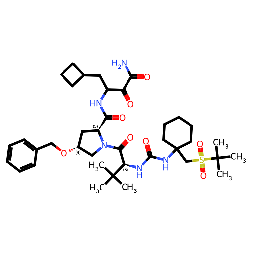 CC(C)(C)[C@H](NC(=O)NC1(CS(=O)(=O)C(C)(C)C)CCCCC1)C(=O)N1C[C@H](OCc2ccccc2)C[C@H]1C(=O)NC(CC1CCC1)C(=O)C(N)=O